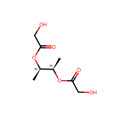 C[C@@H](OC(=O)CO)[C@@H](C)OC(=O)CO